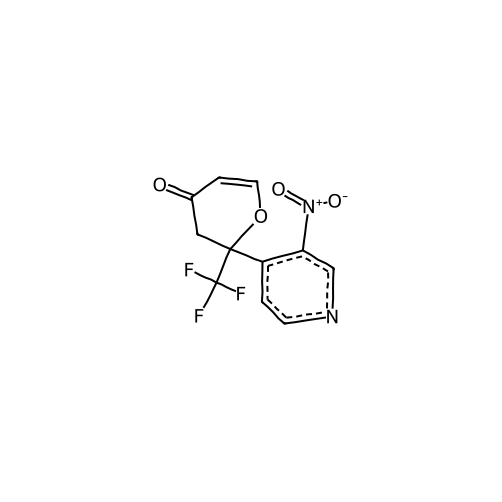 O=C1C=COC(c2ccncc2[N+](=O)[O-])(C(F)(F)F)C1